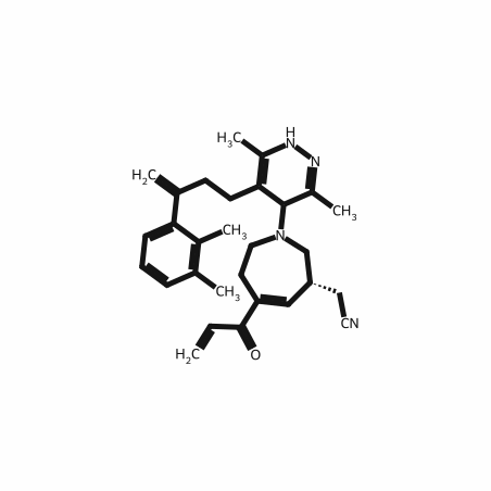 C=CC(=O)C1=C[C@@H](CC#N)CN(C2C(C)=NNC(C)=C2CCC(=C)c2cccc(C)c2C)CC1